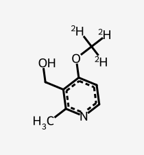 [2H]C([2H])([2H])Oc1ccnc(C)c1CO